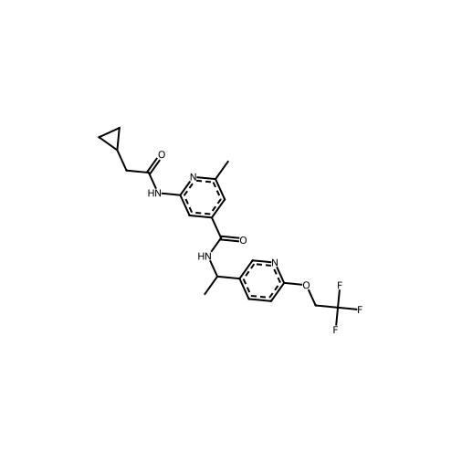 Cc1cc(C(=O)NC(C)c2ccc(OCC(F)(F)F)nc2)cc(NC(=O)CC2CC2)n1